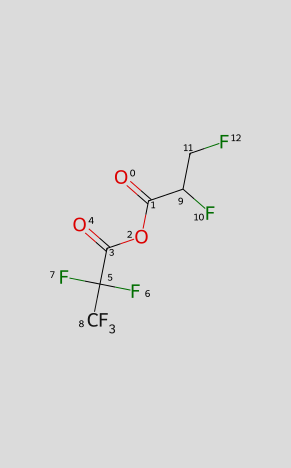 O=C(OC(=O)C(F)(F)C(F)(F)F)C(F)CF